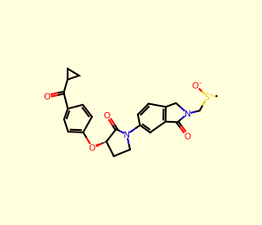 C[S+]([O-])CN1Cc2ccc(N3CC[C@@H](Oc4ccc(C(=O)C5CC5)cc4)C3=O)cc2C1=O